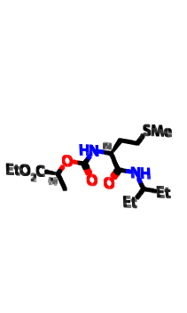 CCOC(=O)[C@H](C)OC(=O)N[C@@H](CCSC)C(=O)NC(CC)CC